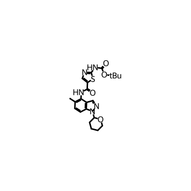 Cc1ccc2c(cnn2C2CCCCO2)c1NC(=O)c1cnc(NC(=O)OC(C)(C)C)s1